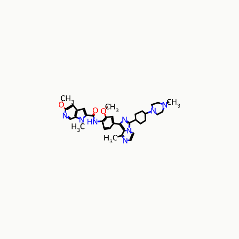 COc1cc2cc(C(=O)Nc3ccc(-c4nc(C5CCC(N6CCN(C)CC6)CC5)n5ccnc(C)c45)cc3OC)n(C)c2cn1